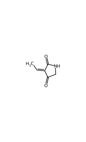 C/C=C1/C(=O)CNC1=O